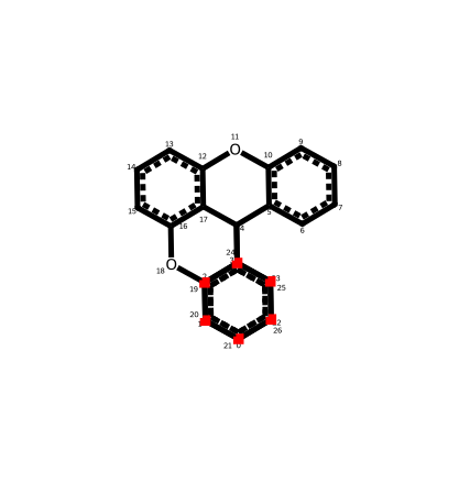 c1ccc(C23c4ccccc4Oc4cccc(c42)Oc2ccccc23)cc1